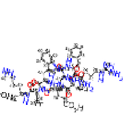 CC[C@H](C)[C@H](NC(=O)[C@H](Cc1ccccc1)NC(=O)[C@H](CC(C)C)NC(=O)[C@@H](N)CCCNC(=N)N)C(=O)N[C@@H](CCC(=O)O)C(=O)N[C@@H](Cc1c[nH]c2ccccc12)C(=O)N[C@@H](CC(C)C)C(=O)N[C@H]([C]=O)CCCCN